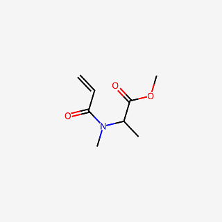 C=CC(=O)N(C)C(C)C(=O)OC